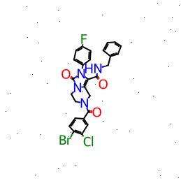 O=C(NCc1ccccc1)c1c2n(c(=O)n1-c1ccc(F)cc1)CCN(C(=O)c1ccc(Br)c(Cl)c1)C2